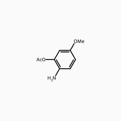 COc1ccc(N)c(OC(C)=O)c1